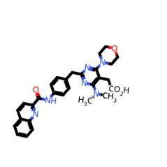 CN(C)c1nc(Cc2ccc(NC(=O)c3ccc4ccccc4n3)cc2)nc(N2CCOCC2)c1CC(=O)O